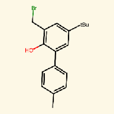 Cc1ccc(-c2cc(C(C)(C)C)cc(CBr)c2O)cc1